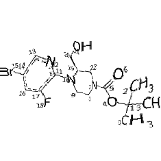 CC(C)(C)OC(=O)N1CCN(c2ncc(Br)cc2F)[C@@H](CO)C1